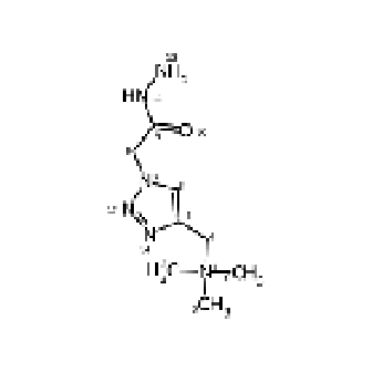 C[N+](C)(C)Cc1cn(CC(=O)NN)nn1